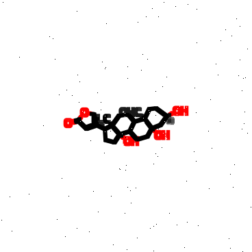 CC12CCC3C(CCC4(O)C[C@H](O)CCC34C=O)C1(O)CCC2C1=CC(=O)OC1